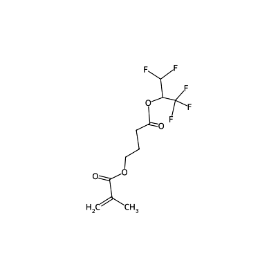 C=C(C)C(=O)OCCCC(=O)OC(C(F)F)C(F)(F)F